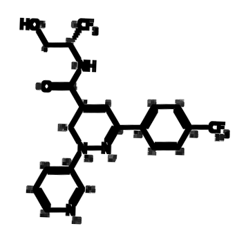 O=C(N[C@H](CO)C(F)(F)F)C1=CC(c2ccc(C(F)(F)F)cc2)=NN(c2cccnc2)C1